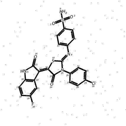 NS(=O)(=O)c1ccc(/N=C2\S/C(=C3\C(=O)Nc4ccc(F)cc43)C(=O)N2c2ccc(Cl)cc2)cc1